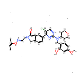 C/C=C(/C)O/N=C/CN1Cc2ccc(-c3nc(N(Cc4ccc(OC)cc4OC)C4CCOCC4)ncc3Cl)cc2C1=O